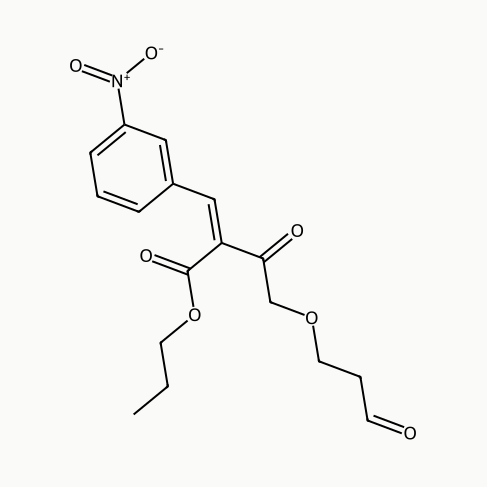 CCCOC(=O)C(=Cc1cccc([N+](=O)[O-])c1)C(=O)COCCC=O